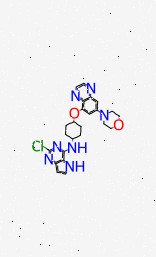 Clc1nc(N[C@H]2CC[C@@H](Oc3cc(N4CCOCC4)cc4nccnc34)CC2)c2[nH]ccc2n1